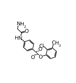 Cc1cccc(OS(=O)(=O)c2ccc(NC(=O)CN)cc2)c1Cl